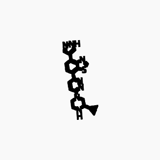 c1nc2c(-c3cn[nH]c3)ccc(-c3ccc(N4CCNC(C5CC5)C4)nn3)c2s1